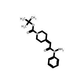 CC(C)(C)OC(=O)N1CCC(=CC(=O)N(N)c2ccccc2)CC1